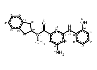 CN(C(=O)c1cc(N)nc(Nc2ccccc2O)n1)C1Cc2ccccc2C1